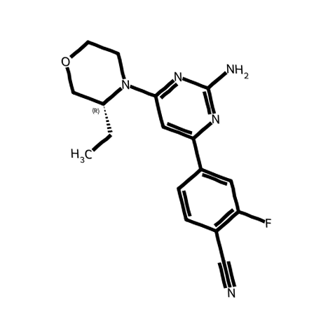 CC[C@@H]1COCCN1c1cc(-c2ccc(C#N)c(F)c2)nc(N)n1